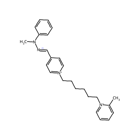 Cc1cccc[n+]1CCCCCC[n+]1ccc(/C=N/N(C)c2ccccc2)cc1